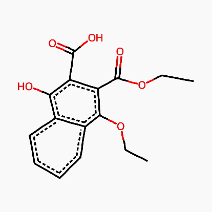 CCOC(=O)c1c(C(=O)O)c(O)c2ccccc2c1OCC